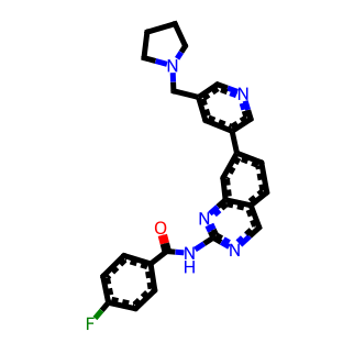 O=C(Nc1ncc2ccc(-c3cncc(CN4CCCC4)c3)cc2n1)c1ccc(F)cc1